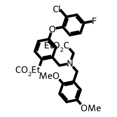 CCOC(=O)CN(Cc1cc(OC)ccc1OC)Cc1cc(Oc2ccc(F)cc2Cl)ccc1C(=O)OCC